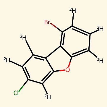 [2H]c1c([2H])c(Br)c2c(oc3c([2H])c(Cl)c([2H])c([2H])c32)c1[2H]